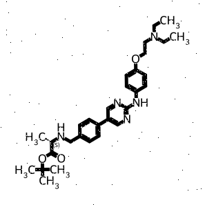 CCN(CC)CCOc1ccc(Nc2ncc(-c3ccc(CN[C@@H](C)C(=O)OC(C)(C)C)cc3)cn2)cc1